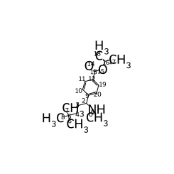 CNC(CCC(C)(C)C)c1ccc(C(=O)OC(C)C)cc1